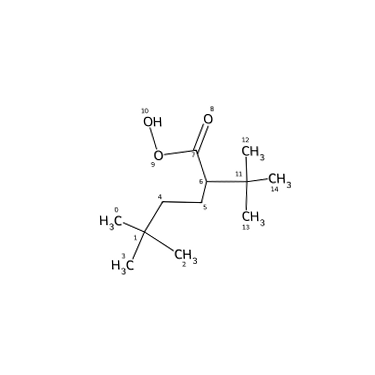 CC(C)(C)CCC(C(=O)OO)C(C)(C)C